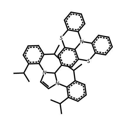 CC(C)c1cccc(C(C)C)c1N1C=CN(c2c(C(C)C)cccc2C(C)C)C1c1cc2c3c(c1)Sc1ccccc1N3c1ccccc1S2